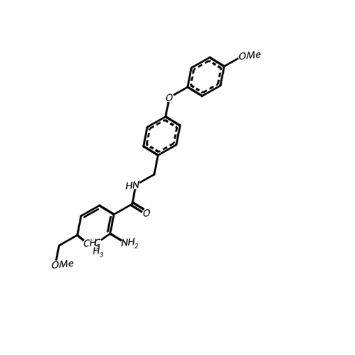 COCC(C)/C=C\C(C(=O)NCc1ccc(Oc2ccc(OC)cc2)cc1)=C(/C)N